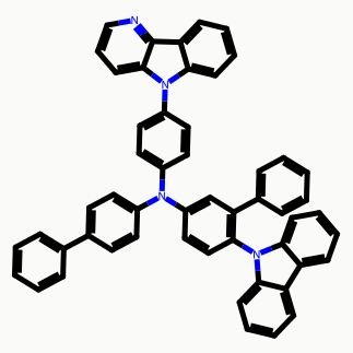 c1ccc(-c2ccc(N(c3ccc(-n4c5ccccc5c5ncccc54)cc3)c3ccc(-n4c5ccccc5c5ccccc54)c(-c4ccccc4)c3)cc2)cc1